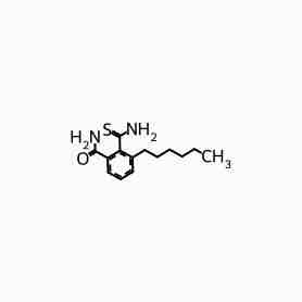 CCCCCCc1cccc(C(N)=O)c1C(N)=S